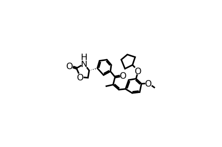 COc1ccc(C=C(C)C(=O)c2cccc([C@@H]3COC(=O)N3)c2)cc1OC1CCCC1